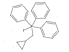 IP(CC1CC1)(c1ccccc1)(c1ccccc1)c1ccccc1